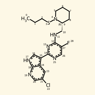 CCCSN1CCCC[C@@H]1CNc1nc(-c2c[nH]c3ncc(Cl)cc23)ncc1F